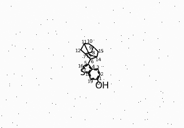 Oc1ccc2c(C3C4CC5CC(C4)CC3C5)csc2c1